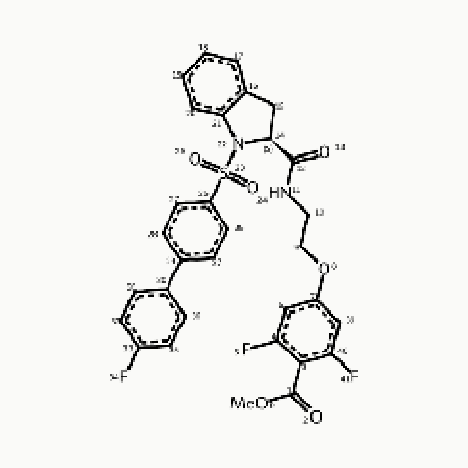 COC(=O)c1c(F)cc(OCCNC(=O)[C@@H]2Cc3ccccc3N2S(=O)(=O)c2ccc(-c3ccc(F)cc3)cc2)cc1F